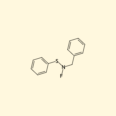 FN(Cc1ccccc1)Sc1ccccc1